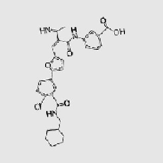 CC(=N)/C(=C/c1ccc(-c2ccc(Cl)c(C(=O)NCC3CCCCC3)c2)o1)C(=O)Nc1cccc(C(=O)O)c1